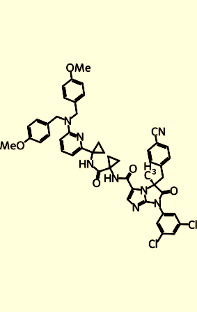 COc1ccc(CN(Cc2ccc(OC)cc2)c2cccc(C3(NC(=O)C4(NC(=O)c5cnc6n5[C@](C)(Cc5ccc(C#N)cc5)C(=O)N6c5cc(Cl)cc(Cl)c5)CC4)CC3)n2)cc1